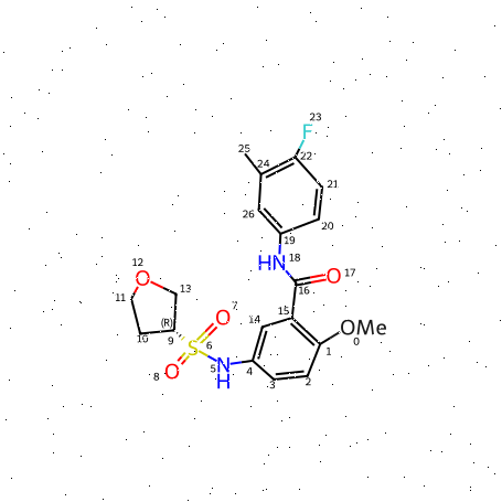 COc1ccc(NS(=O)(=O)[C@@H]2CCOC2)cc1C(=O)Nc1ccc(F)c(C)c1